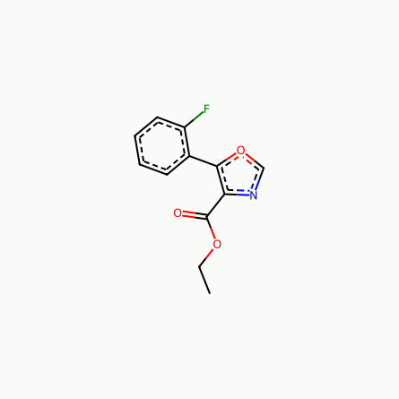 CCOC(=O)c1ncoc1-c1ccccc1F